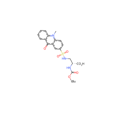 Cn1c2ccccc2c(=O)c2cc(S(=O)(=O)NC[C@@H](NC(=O)OC(C)(C)C)C(=O)O)ccc21